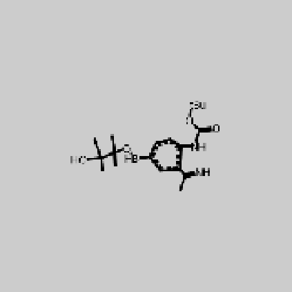 CC(=N)c1cc(BOC(C)(C)C(C)(C)O)ccc1NC(=O)OC(C)(C)C